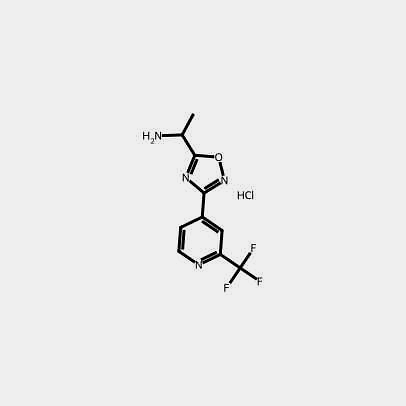 CC(N)c1nc(-c2ccnc(C(F)(F)F)c2)no1.Cl